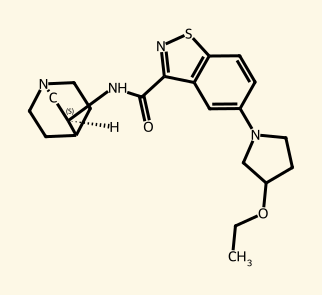 CCOC1CCN(c2ccc3snc(C(=O)N[C@@H]4CN5CCC4CC5)c3c2)C1